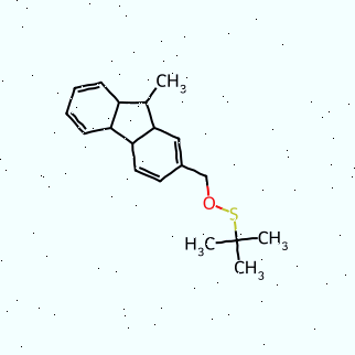 CC1C2C=CC=CC2C2C=CC(COSC(C)(C)C)=CC12